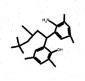 Cc1cc(C)c(N)c(C(CC(C)CC(C)(C)C)c2cc(C)cc(C)c2O)c1